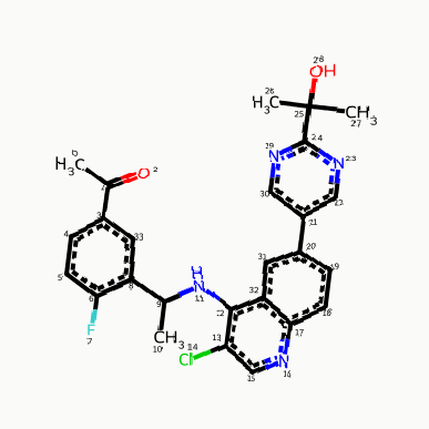 CC(=O)c1ccc(F)c(C(C)Nc2c(Cl)cnc3ccc(-c4cnc(C(C)(C)O)nc4)cc23)c1